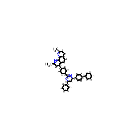 Cc1ccc2ccc3c(-c4ccc(-c5nc(-c6ccccc6)cc(-c6ccc(-c7ccccc7)cc6)n5)cc4)cc(C)nc3c2n1